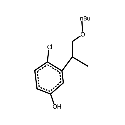 CCCCOCC(C)c1cc(O)ccc1Cl